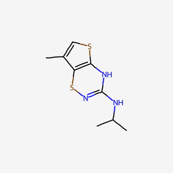 Cc1csc2c1SN=C(NC(C)C)N2